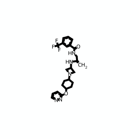 C=C(CNC(=O)c1cccc(C(F)(F)F)c1)NC1CN(C2CCC(Oc3cccnn3)CC2)C1